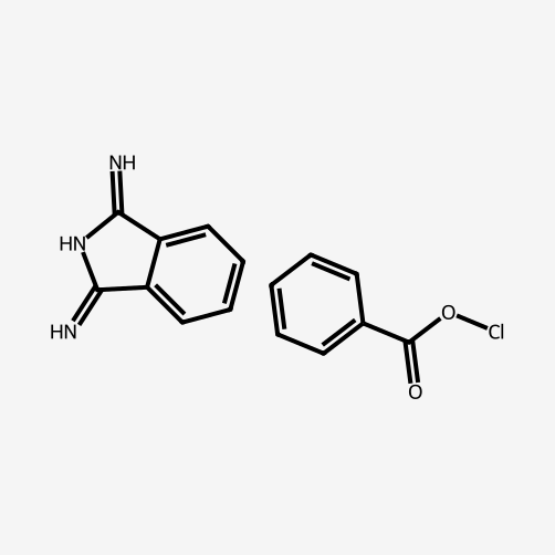 N=C1NC(=N)c2ccccc21.O=C(OCl)c1ccccc1